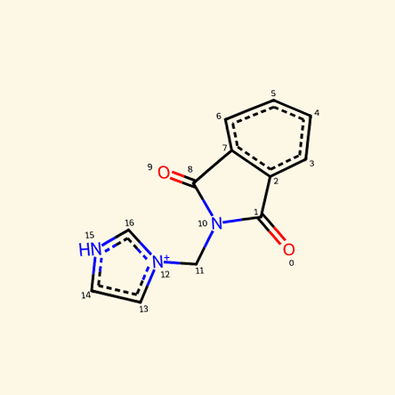 O=C1c2ccccc2C(=O)N1C[n+]1cc[nH]c1